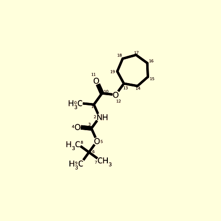 CC(NC(=O)OC(C)(C)C)C(=O)OC1CCCCCC1